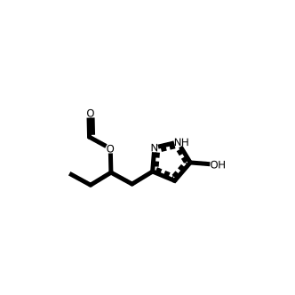 CCC(Cc1cc(O)[nH]n1)OC=O